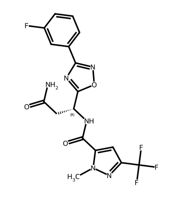 Cn1nc(C(F)(F)F)cc1C(=O)N[C@H](CC(N)=O)c1nc(-c2cccc(F)c2)no1